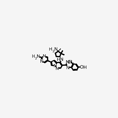 CC1(C)[C@H](Nc2c(/C(N)=N/c3ccc(O)cc3Cl)cnn3cc(-c4cnc(N)nc4)cc23)CC[C@]1(C)N